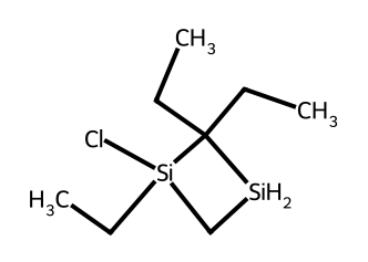 CCC1(CC)[SiH2]C[Si]1(Cl)CC